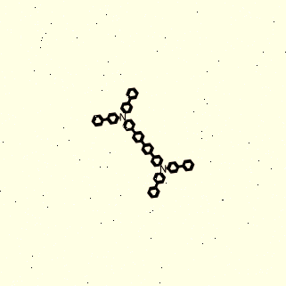 C1=CC(c2ccc(-c3ccc(-c4ccc(N(c5ccc(-c6ccccc6)cc5)c5ccc(-c6ccccc6)cc5)cc4)cc3)cc2)CC=C1N(c1ccc(-c2ccccc2)cc1)c1ccc(-c2ccccc2)cc1